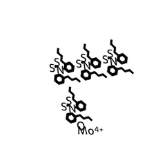 CCCCc1ccccc1N(C(=S)[S-])c1ccccc1CCCC.CCCCc1ccccc1N(C(=S)[S-])c1ccccc1CCCC.CCCCc1ccccc1N(C(=S)[S-])c1ccccc1CCCC.CCCCc1ccccc1N(C(=S)[S-])c1ccccc1CCCC.[O]=[Mo+4]